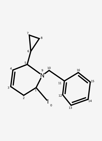 IC1CC=CC(C2CC2)N1Cc1ccccc1